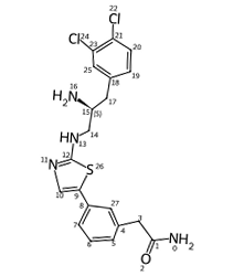 NC(=O)Cc1cccc(-c2cnc(NC[C@@H](N)Cc3ccc(Cl)c(Cl)c3)s2)c1